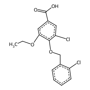 CCOc1cc(C(=O)O)cc(Cl)c1OCc1ccccc1Cl